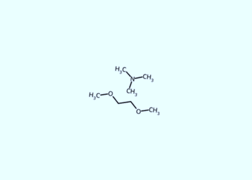 CN(C)C.COCCOC